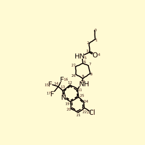 CCCC(=O)NC1CCC(Nc2cc(C(F)(F)F)nc3ccc(Cl)cc23)CC1